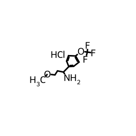 COCCC(N)c1ccc(OC(F)(F)F)cc1.Cl